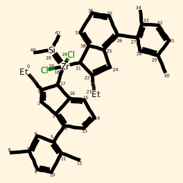 CCC1=Cc2c(-c3cc(C)ccc3C)cccc2[CH]1[Zr]([Cl])([Cl])([CH]1C(CC)=Cc2c(-c3cc(C)ccc3C)cccc21)=[Si](C)C